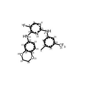 Cc1cc(Nc2ncc(F)c(Nc3ccc4c(c3)OCCO4)n2)cc(C(F)(F)F)c1